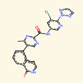 Cc1nc(C(=O)Nc2cnc(-n3nccn3)c(Cl)c2)ncc1-c1cccc2c(=O)[nH]ccc12